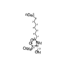 CCCCCCCCCCCCCCCCCC(=O)N[C@H](CO)C(=O)OC